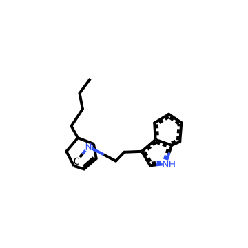 CCCCC1CC2C=CC1N(CCc1c[nH]c3ccccc13)C2